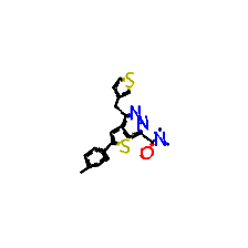 Cc1ccc(-c2cc3c(Cc4ccsc4)nnc(C(=O)N(C)C)c3s2)cc1